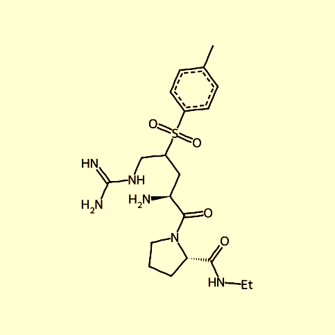 CCNC(=O)[C@@H]1CCCN1C(=O)[C@@H](N)CC(CNC(=N)N)S(=O)(=O)c1ccc(C)cc1